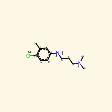 Cc1cc(NCCCN(C)C)ccc1Cl